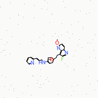 COc1ccc2ncc(F)c(CCC34CCC(NC/C=C/c5ccccn5)(CC3)CO4)c2n1